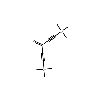 C[Si](C)(C)C#CC(=O)C#C[Si](C)(C)C